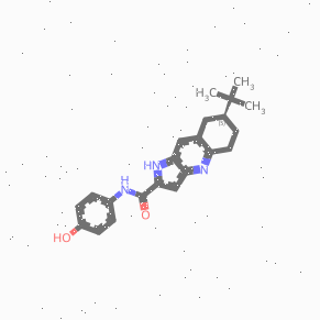 CC(C)(C)[C@H]1CCc2nc3cc(C(=O)Nc4ccc(O)cc4)[nH]c3cc2C1